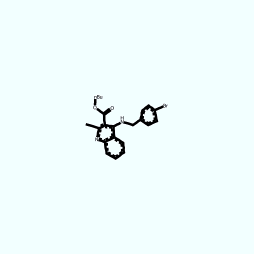 CCCCOC(=O)c1c(C)nc2ccccc2c1NCc1ccc(Br)cc1